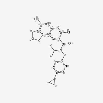 CC(C)N(Cc1ccc(C2CC2)cn1)C(=O)c1cc2c3c(c(N)nc2cc1Cl)COC3